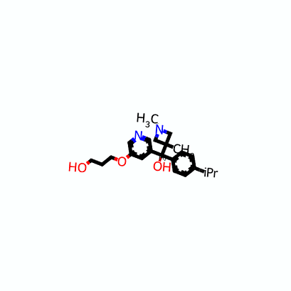 CC(C)c1ccc([C@](O)(c2cncc(OCCCO)c2)C2(C)CN(C)C2)cc1